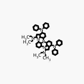 CCN(CC)c1cc2c(N(c3ccccc3)c3ccccc3)ccc3c2n1-c1cccc2c1B3c1ccc(N(c3ccccc3)c3ccccc3)c3cc(N(CC)CC)n-2c13